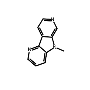 Cn1c2cnccc2c2ncccc21